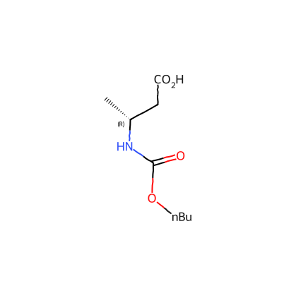 CCCCOC(=O)N[C@H](C)CC(=O)O